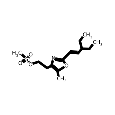 CCC(/C=C/c1nc(CCOS(C)(=O)=O)c(C)o1)CC